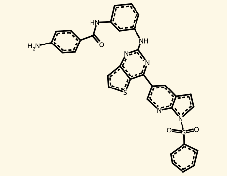 Nc1ccc(C(=O)Nc2cccc(Nc3nc(-c4cnc5c(ccn5S(=O)(=O)c5ccccc5)c4)c4sccc4n3)c2)cc1